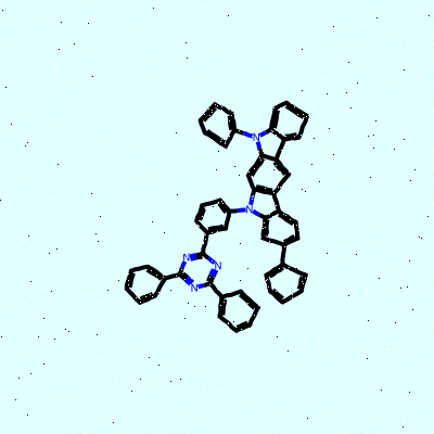 c1ccc(-c2ccc3c4cc5c6ccccc6n(-c6ccccc6)c5cc4n(-c4cccc(-c5nc(-c6ccccc6)nc(-c6ccccc6)n5)c4)c3c2)cc1